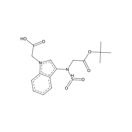 CC(C)(C)OC(=O)CN(c1cn(CC(=O)O)c2ccccc12)[SH](=O)=O